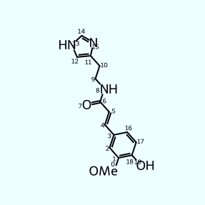 COc1cc(C=CC(=O)NCCc2c[nH]cn2)ccc1O